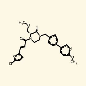 COC[C@H]1C(=O)N(Cc2ccc(-c3ccc(OC)nc3)cc2)CCN1C(=O)/C=C/c1ccc(Cl)s1